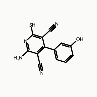 N#Cc1c(N)nc(S)c(C#N)c1-c1cccc(O)c1